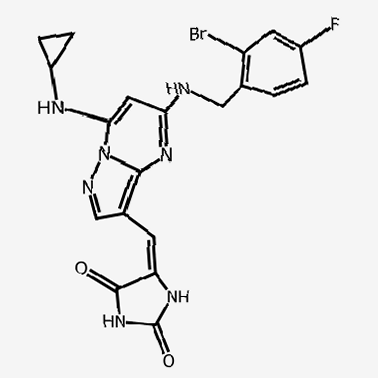 O=C1NC(=O)/C(=C\c2cnn3c(NC4CC4)cc(NCc4ccc(F)cc4Br)nc23)N1